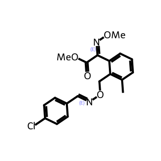 CO/N=C(/C(=O)OC)c1cccc(C)c1CO/N=C/c1ccc(Cl)cc1